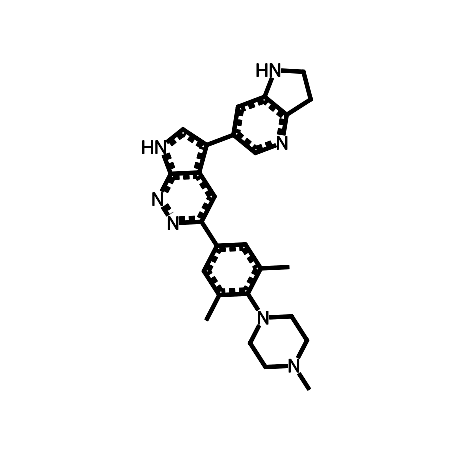 Cc1cc(-c2cc3c(-c4cnc5c(c4)NCC5)c[nH]c3nn2)cc(C)c1N1CCN(C)CC1